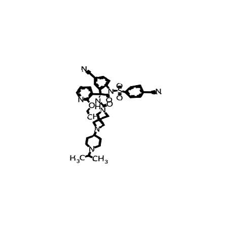 CCOc1ncccc1[C@]1(NC(=O)N2CC3(C2)CN(C2CCN(C(C)C)CC2)C3)C(=O)N(S(=O)(=O)c2ccc(C#N)cc2)c2ccc(C#N)cc21